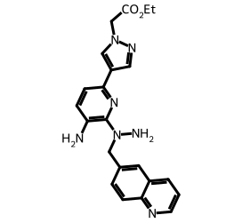 CCOC(=O)Cn1cc(-c2ccc(N)c(N(N)Cc3ccc4ncccc4c3)n2)cn1